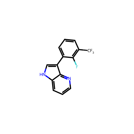 Fc1c(-c2c[nH]c3cccnc23)cccc1C(F)(F)F